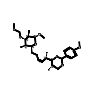 COCO[C@@H]1[C@@H](C)[C@H](OC)O[C@@H](CC/C=C\[C@H](C)[C@H]2OC(c3ccc(OC)cc3)OC[C@@H]2C)[C@H]1C